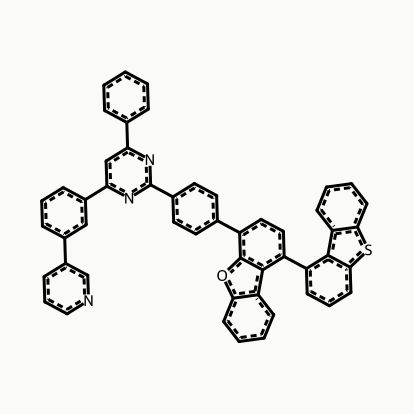 c1ccc(-c2cc(-c3cccc(-c4cccnc4)c3)nc(-c3ccc(-c4ccc(-c5cccc6sc7ccccc7c56)c5c4oc4ccccc45)cc3)n2)cc1